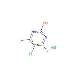 Cc1nc(O)nc(C)c1Cl.Cl